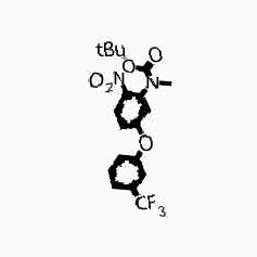 CN(C(=O)OC(C)(C)C)c1cc(Oc2cccc(C(F)(F)F)c2)ccc1[N+](=O)[O-]